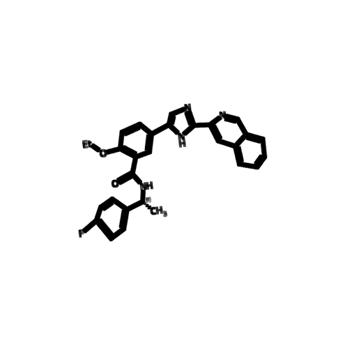 CCOc1ccc(-c2cnc(-c3cc4ccccc4cn3)[nH]2)cc1C(=O)N[C@H](C)c1ccc(F)cc1